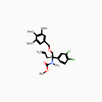 C=CC[C@@](COCc1cc(OC)c(OC)c(OC)c1)(c1ccc(Cl)c(Cl)c1)N(C)C(=O)OC(C)(C)C